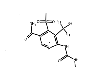 [2H]C([2H])([2H])c1c(NC(=O)NC)nnc(C(N)=O)c1S(C)(=O)=O